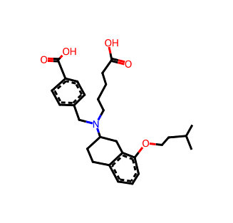 CC(C)CCOc1cccc2c1CC(N(CCCCC(=O)O)Cc1ccc(C(=O)O)cc1)CC2